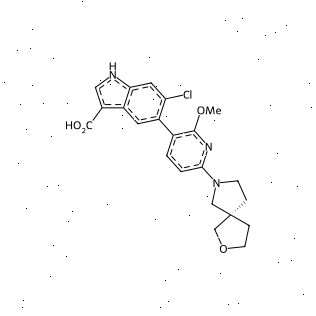 COc1nc(N2CC[C@@]3(CCOC3)C2)ccc1-c1cc2c(C(=O)O)c[nH]c2cc1Cl